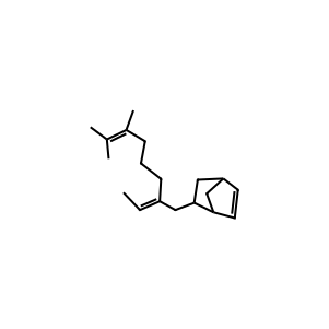 C/C=C(\CCCC(C)=C(C)C)CC1CC2C=CC1C2